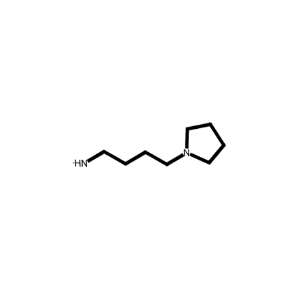 [NH]CCCCN1CCCC1